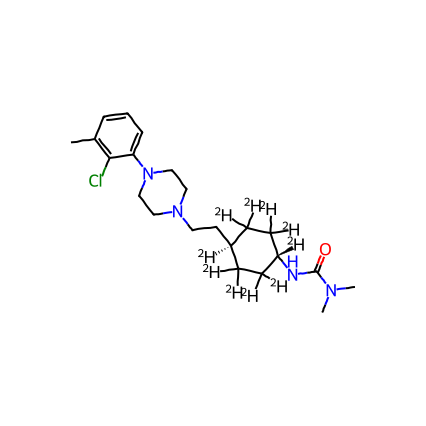 [2H]C1([2H])C([2H])([2H])[C@]([2H])(NC(=O)N(C)C)C([2H])([2H])C([2H])([2H])[C@@]1([2H])CCN1CCN(c2cccc(C)c2Cl)CC1